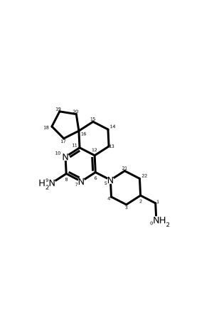 NCC1CCN(c2nc(N)nc3c2CCCC32CCCC2)CC1